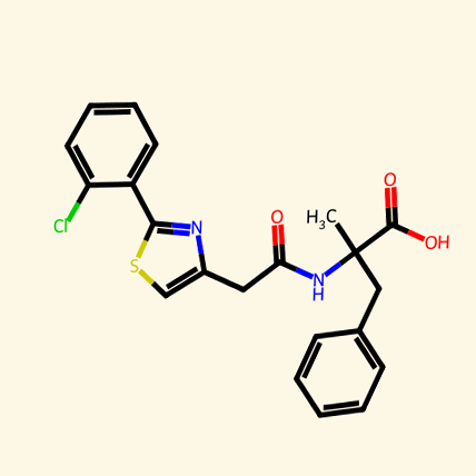 CC(Cc1ccccc1)(NC(=O)Cc1csc(-c2ccccc2Cl)n1)C(=O)O